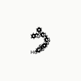 O=C(Cc1ccccc1)N(c1ccccc1)C1CCN(Cc2ccc(Oc3ccc(S(=O)(=O)N4CCC(O)CC4)cc3)nc2)CC1